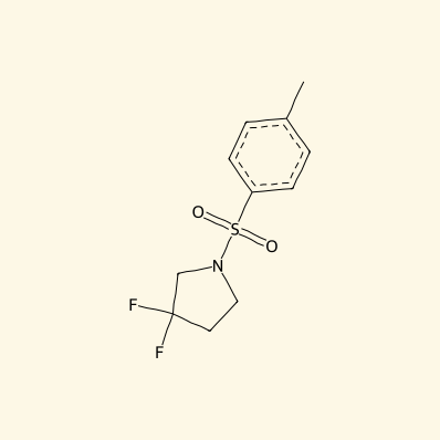 Cc1ccc(S(=O)(=O)N2CCC(F)(F)C2)cc1